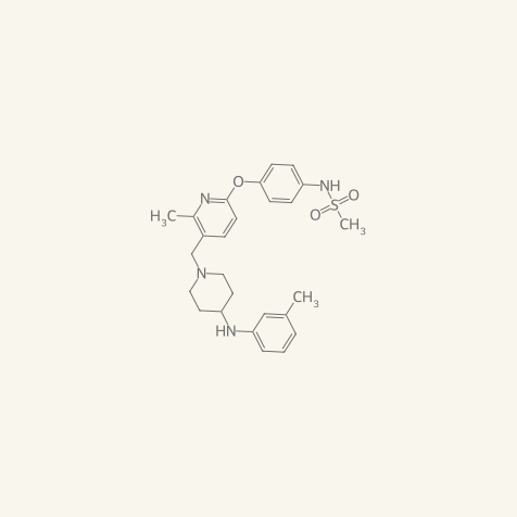 Cc1cccc(NC2CCN(Cc3ccc(Oc4ccc(NS(C)(=O)=O)cc4)nc3C)CC2)c1